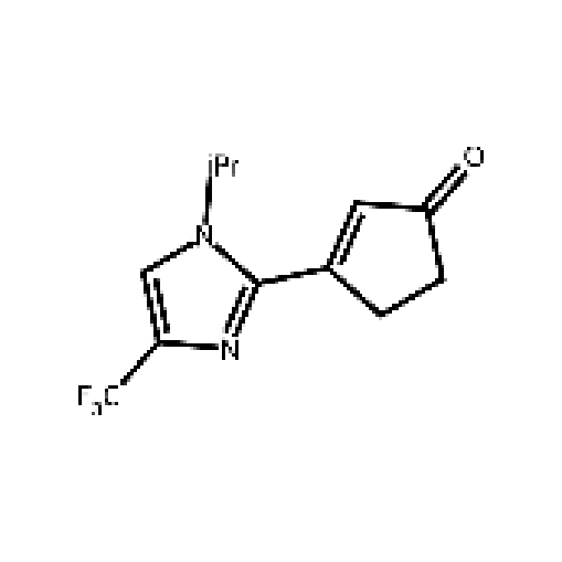 CC(C)n1cc(C(F)(F)F)nc1C1=CC(=O)CC1